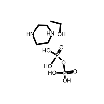 C1CNCCN1.CCO.O=P(O)(O)OP(=O)(O)O